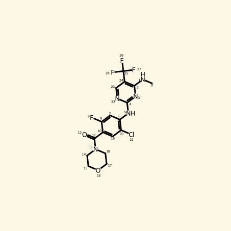 CNc1nc(Nc2cc(F)c(C(=O)N3CCOCC3)cc2Cl)ncc1C(F)(F)F